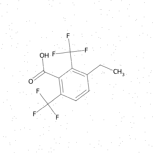 CCc1ccc(C(F)(F)F)c(C(=O)O)c1C(F)(F)F